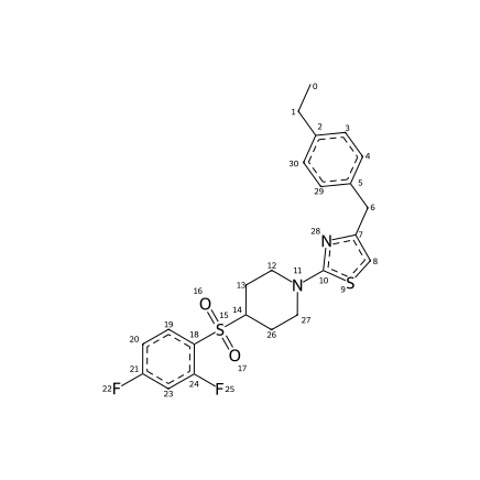 CCc1ccc(Cc2csc(N3CCC(S(=O)(=O)c4ccc(F)cc4F)CC3)n2)cc1